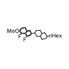 CCCCCCC1CCC2CC(c3cc(F)c4c(F)c(OC)ccc4c3)CCC2C1